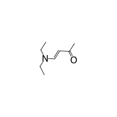 CCN(C=CC(C)=O)CC